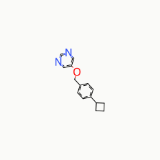 c1ncc(OCc2ccc(C3CCC3)cc2)cn1